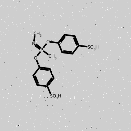 CN=P(C)(Oc1ccc(S(=O)(=O)O)cc1)Oc1ccc(S(=O)(=O)O)cc1